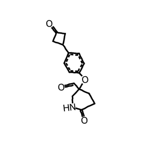 O=CC1(Oc2ccc(C3CC(=O)C3)cc2)CCC(=O)NC1